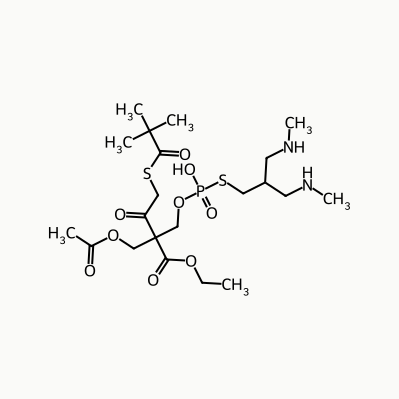 CCOC(=O)C(COC(C)=O)(COP(=O)(O)SCC(CNC)CNC)C(=O)CSC(=O)C(C)(C)C